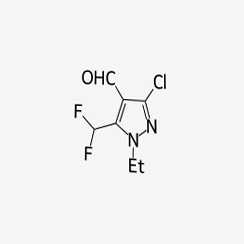 CCn1nc(Cl)c(C=O)c1C(F)F